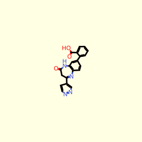 O=C1CC(c2ccnnc2)=Nc2ccc(-c3ccccc3C(=O)O)cc2N1